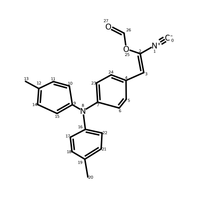 [C-]#[N+]/C(=C/c1ccc(N(c2ccc(C)cc2)c2ccc(C)cc2)cc1)OC=O